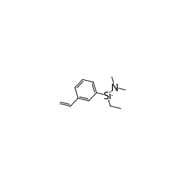 C=Cc1cccc([Si](CC)N(C)C)c1